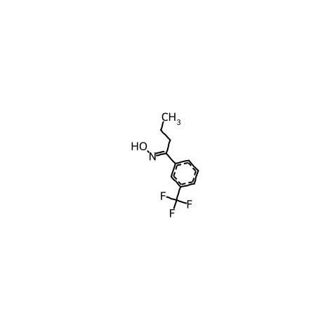 CCCC(=NO)c1cccc(C(F)(F)F)c1